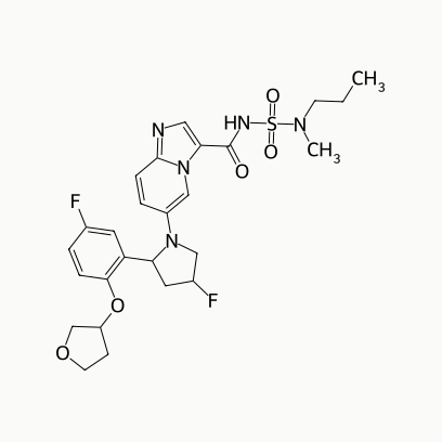 CCCN(C)S(=O)(=O)NC(=O)c1cnc2ccc(N3CC(F)CC3c3cc(F)ccc3OC3CCOC3)cn12